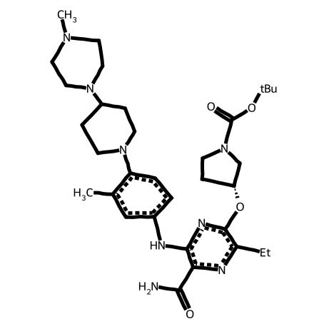 CCc1nc(C(N)=O)c(Nc2ccc(N3CCC(N4CCN(C)CC4)CC3)c(C)c2)nc1O[C@@H]1CCN(C(=O)OC(C)(C)C)C1